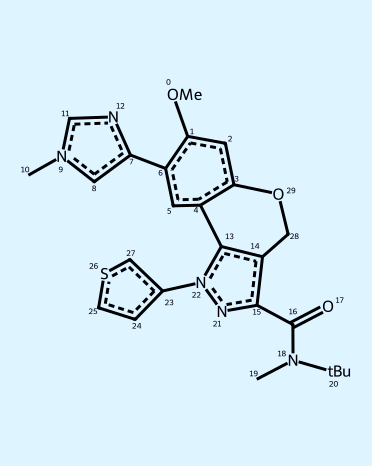 COc1cc2c(cc1-c1cn(C)cn1)-c1c(c(C(=O)N(C)C(C)(C)C)nn1-c1ccsc1)CO2